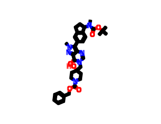 CN(C(=O)OC(C)(C)C)C1CCc2cc(-c3c4ncn(CC5(O)CCN(C(=O)OCc6ccccc6)CC5)c(=O)c4nn3C)ccc21